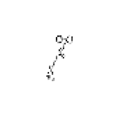 NCC(=O)OCCC=CC(=O)OCC1c2ccccc2-c2ccccc21